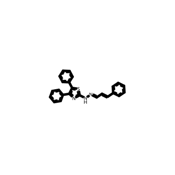 C(=Cc1ccccc1)C=NNc1nc(-c2ccccc2)c(-c2ccccc2)s1